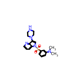 CN(C)c1cccc(S(=O)(=O)n2cc(N3CCNCC3)c3ncccc32)c1